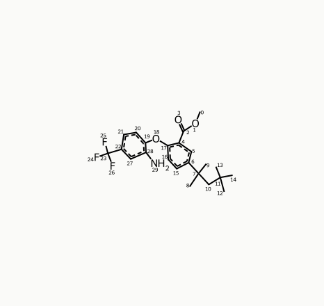 COC(=O)c1cc(C(C)(C)CC(C)(C)C)ccc1Oc1ccc(C(F)(F)F)cc1N